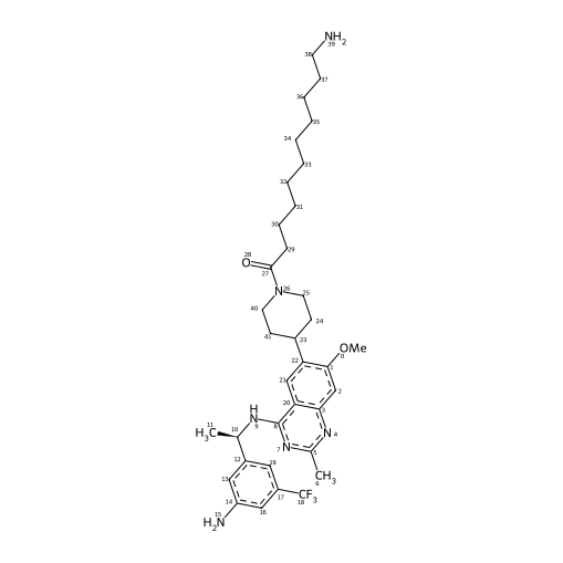 COc1cc2nc(C)nc(N[C@H](C)c3cc(N)cc(C(F)(F)F)c3)c2cc1C1CCN(C(=O)CCCCCCCCCCN)CC1